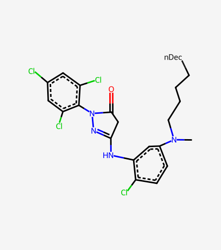 CCCCCCCCCCCCCCN(C)c1ccc(Cl)c(NC2=NN(c3c(Cl)cc(Cl)cc3Cl)C(=O)C2)c1